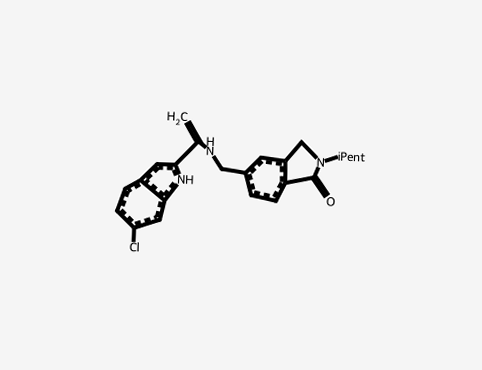 C=C(NCc1ccc2c(c1)CN(C(C)CCC)C2=O)c1cc2ccc(Cl)cc2[nH]1